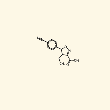 CCC1C(C(=O)O)=NOC1c1ccc(C#N)cc1